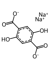 O=C([O-])c1cc(O)c(C(=O)[O-])cc1O.[Na+].[Na+]